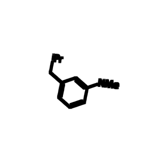 CNc1cccc(CC(C)C)c1